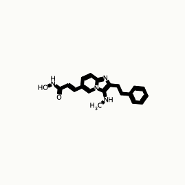 CNc1c(CCc2ccccc2)nc2ccc(/C=C/C(=O)NO)cn12